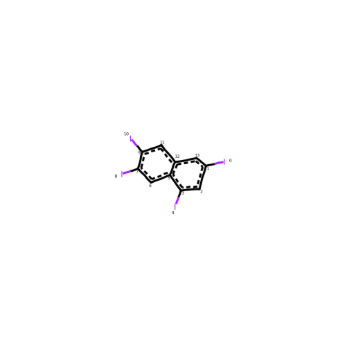 Ic1cc(I)c2cc(I)c(I)cc2c1